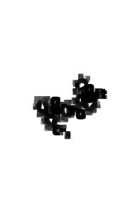 CCNC(=O)[C@]1(c2ccccc2)CC[C@H](C(=O)N2CCC(NC(=O)c3ccccc3-c3ccc(C(F)(F)F)cc3)CC2)c2ccccc21